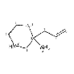 C=CCC1(N)CNCC[N]1